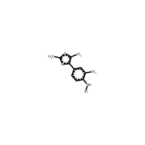 CCNc1ccc(-c2nc(C)sc2C(F)(F)F)cc1C(F)(F)F